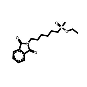 CCOP(C)(=O)CCCCCCN1C(=O)c2ccccc2C1=O